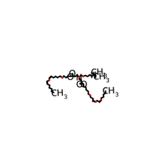 CCCCC/C=C\C/C=C\CCCCCCCCOC(=O)CCN(CCCCCCN(C)C)CCC(=O)OCCCCCCCC/C=C\C/C=C\CCCCC